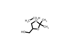 CC(=O)O.CC1(C)OCC(CO)O1